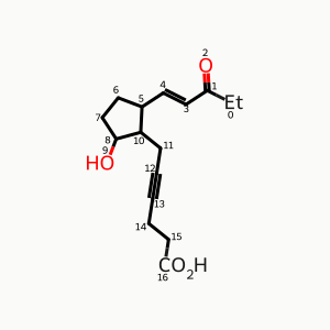 CCC(=O)C=CC1CCC(O)C1CC#CCCC(=O)O